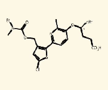 CCC[C@@H](CCC(=O)O)Oc1ccc(-c2sc(Cl)cc2COC(=O)N(C)CC)nc1C